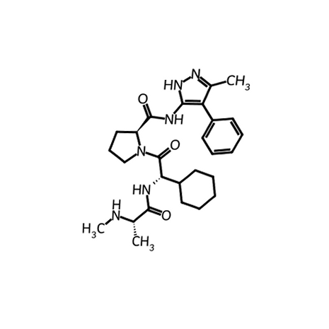 CN[C@@H](C)C(=O)N[C@H](C(=O)N1CCC[C@H]1C(=O)Nc1[nH]nc(C)c1-c1ccccc1)C1CCCCC1